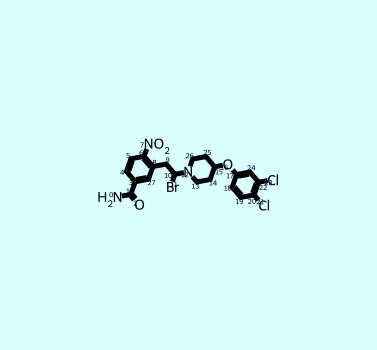 NC(=O)c1ccc([N+](=O)[O-])c(CC(Br)N2CCC(Oc3ccc(Cl)c(Cl)c3)CC2)c1